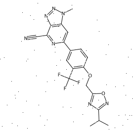 CC(C)c1noc(COc2ccc(-c3cc4c(nnn4C)c(C#N)n3)cc2C(F)(F)F)n1